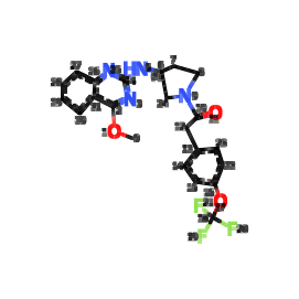 COc1nc(N[C@H]2CCN(C(=O)Cc3ccc(OC(F)(F)F)cc3)C2)nc2ccccc12